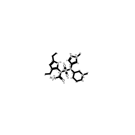 CCc1cc(CC)c(N(C(N)=O)S(=O)(=O)N(c2cnn(C)c2)C2CCCN(C)C2)s1